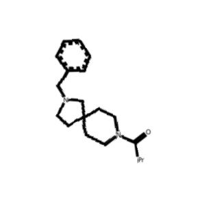 CC(C)C(=O)N1CCC2(CCN(Cc3ccccc3)C2)CC1